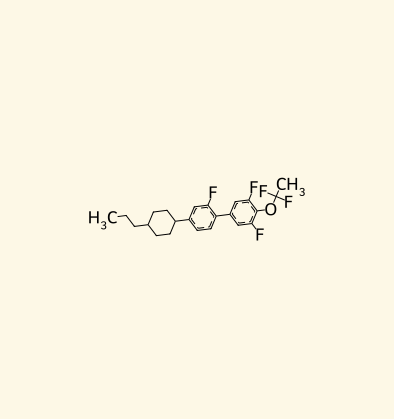 CCCC1CCC(c2ccc(-c3cc(F)c(OC(C)(F)F)c(F)c3)c(F)c2)CC1